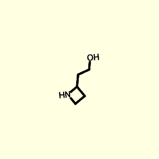 OCCC1CCN1